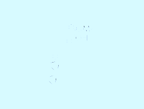 COC(=O)C(O)COCCCCOc1ccc(-c2ccccc2)cc1